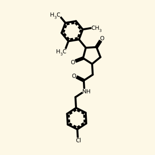 Cc1cc(C)c(C2C(=O)CC(CC(=O)NCc3ccc(Cl)cc3)C2=O)c(C)c1